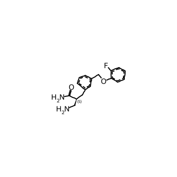 NC[C@H](Cc1cccc(COc2ccccc2F)c1)C(N)=O